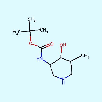 CC1CNCC(NC(=O)OC(C)(C)C)C1O